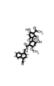 COc1cc(O)c2c(c1C(=O)NCc1ccc(C#N)c3ccccc13)OC1=CC(O)=C(C(C)=O)C(=O)[C@]12C